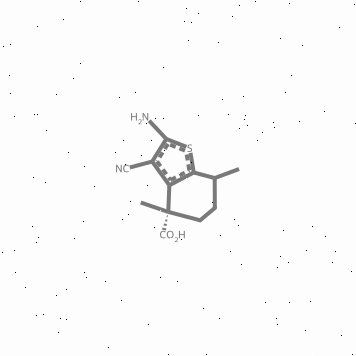 CC1CC[C@](C)(C(=O)O)c2c1sc(N)c2C#N